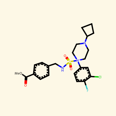 COC(=O)c1ccc(CNS(=O)(=O)[N+]2(c3ccc(F)c(Cl)c3)CCN(C3CCC3)CC2)cc1